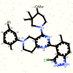 COC1CCN(c2nc(-c3c(C)ccc4[nH]nc(Cl)c34)nc3c2CN(c2cc(C(C)C)ccc2C)CC3)CC1(C)C